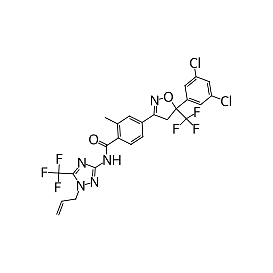 C=CCn1nc(NC(=O)c2ccc(C3=NOC(c4cc(Cl)cc(Cl)c4)(C(F)(F)F)C3)cc2C)nc1C(F)(F)F